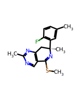 CSC1=N[C@](C)(c2cc(C)ccc2F)Cc2nc(C)ncc21